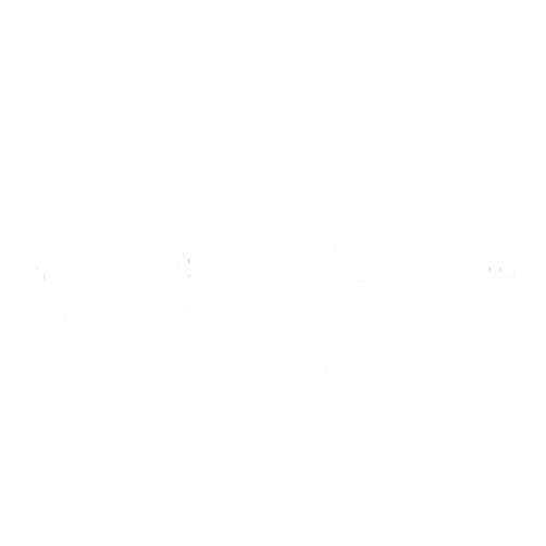 Cc1cc(C)c(-c2c(C)cc(C)cc2OCC2CO2)c(OCC2CO2)c1